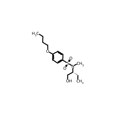 CCCCOc1ccc(S(=O)(=O)N(C)[C@H](CC)CO)cc1